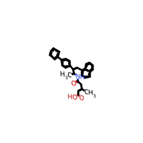 CC(CC(=O)O)CC(=O)NC(C)C(Cc1cccc2ccccc12)c1ccc(-c2ccccc2)cc1